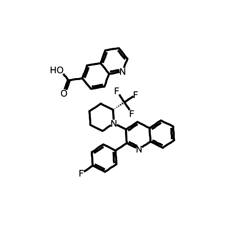 Fc1ccc(-c2nc3ccccc3cc2N2CCCC[C@@H]2C(F)(F)F)cc1.O=C(O)c1ccc2ncccc2c1